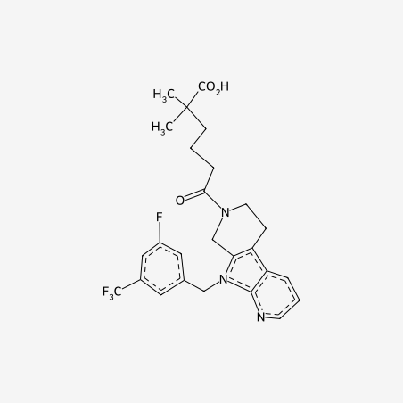 CC(C)(CCCC(=O)N1CCc2c(n(Cc3cc(F)cc(C(F)(F)F)c3)c3ncccc23)C1)C(=O)O